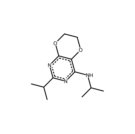 CC(C)Nc1nc(C(C)C)nc2c1OCCO2